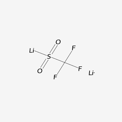 [Li].[Li][S](=O)(=O)C(F)(F)F